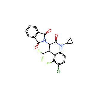 O=C(NC1CC1)C(C(c1cccc(Cl)c1F)C(F)F)N1C(=O)c2ccccc2C1=O